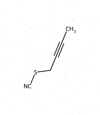 CC#CCSC#N